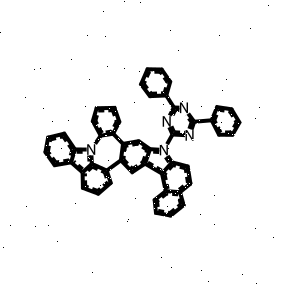 c1ccc(-c2nc(-c3ccccc3)nc(-n3c4cc5c(cc4c4c6ccccc6ccc43)-c3cccc4c6ccccc6n(c34)-c3ccccc3-5)n2)cc1